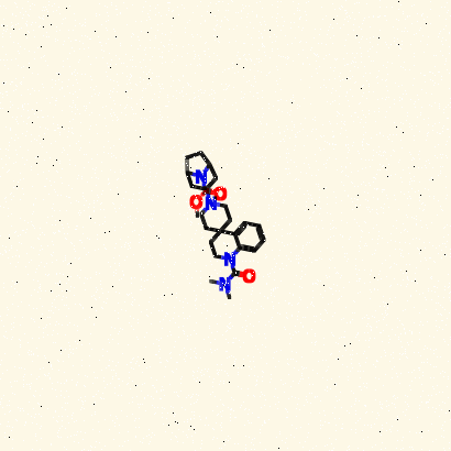 COC(=O)N1C2CCC1CC(N1CCC3(CCN(C(=O)N(C)C)c4ccccc43)CC1)C2